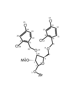 CO[C@H]1C(OBr)O[C@H](COCc2ccc(Cl)cc2Cl)[C@H]1OCc1ccc(Cl)cc1Cl